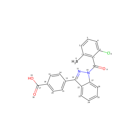 Bc1cccc(Cl)c1C(=O)n1nc(-c2ccc(C(=O)O)cc2)c2ccccc21